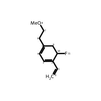 C=CC1=CC=C(CCOC)CC1F